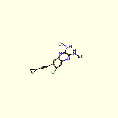 CCNc1nc2cc(Cl)c(C#CC3CC3)cc2nc1NCC